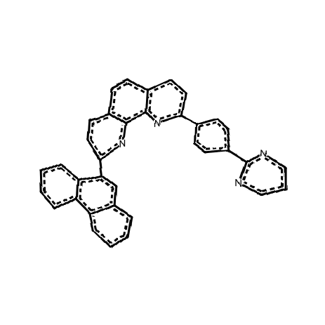 c1cnc(-c2ccc(-c3ccc4ccc5ccc(-c6cc7ccccc7c7ccccc67)nc5c4n3)cc2)nc1